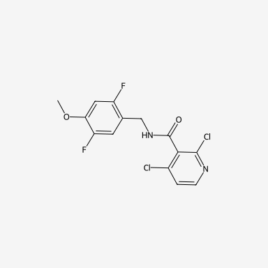 COc1cc(F)c(CNC(=O)c2c(Cl)ccnc2Cl)cc1F